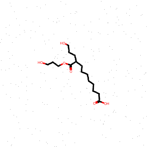 O=C(O)CCCCCCCC(CCCO)C(=O)OCCCO